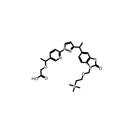 CC(OCC(=O)O)c1ccc(-n2ccc(C(C)c3ccc4c(c3)sc(=O)n4COCC[Si](C)(C)C)n2)nc1